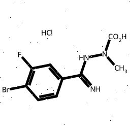 CN(NC(=N)c1ccc(Br)c(F)c1)C(=O)O.Cl